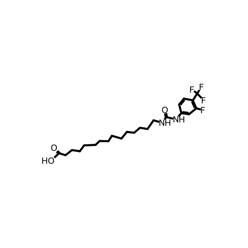 O=C(O)CCCCCCCCCCCCCCNC(=O)Nc1ccc(C(F)(F)F)c(F)c1